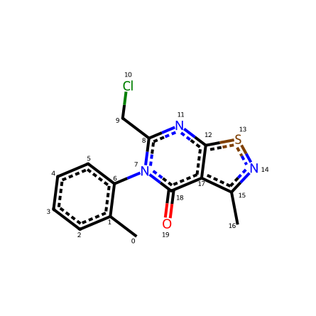 Cc1ccccc1-n1c(CCl)nc2snc(C)c2c1=O